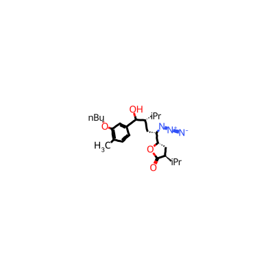 CCCCOc1cc(C(O)[C@@H](C[C@H](N=[N+]=[N-])[C@@H]2C[C@@H](C(C)C)C(=O)O2)C(C)C)ccc1C